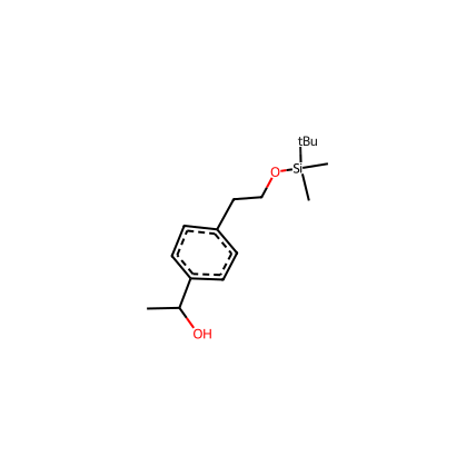 CC(O)c1ccc(CCO[Si](C)(C)C(C)(C)C)cc1